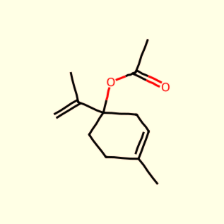 C=C(C)C1(OC(C)=O)CC=C(C)CC1